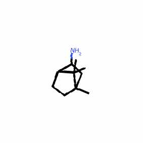 CC12CCC(C(N)C1)C2(C)C